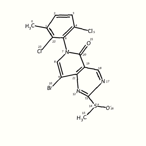 Cc1ccc(Cl)c(-n2cc(Br)c3nc([S+](C)[O-])ncc3c2=O)c1Cl